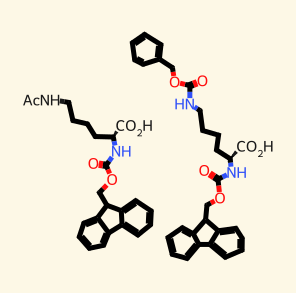 CC(=O)NCCCC[C@H](NC(=O)OCC1c2ccccc2-c2ccccc21)C(=O)O.O=C(NCCCC[C@H](NC(=O)OCC1c2ccccc2-c2ccccc21)C(=O)O)OCc1ccccc1